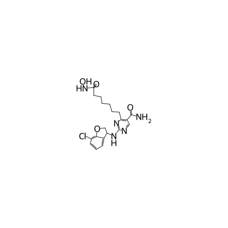 NC(=O)c1cnc(NC2COc3c(Cl)cccc32)nc1CCCCCCC(=O)NO